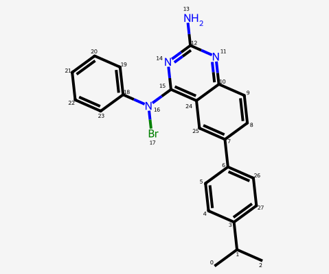 CC(C)c1ccc(-c2ccc3nc(N)nc(N(Br)c4ccccc4)c3c2)cc1